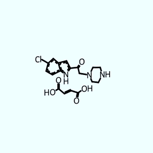 O=C(CN1CCNCC1)c1cc2cc(Cl)ccc2[nH]1.O=C(O)C=CC(=O)O